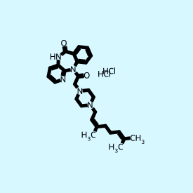 CC(C)=CCCC(C)=CCN1CCN(CC(=O)N2c3ccccc3C(=O)Nc3cccnc32)CC1.Cl.Cl